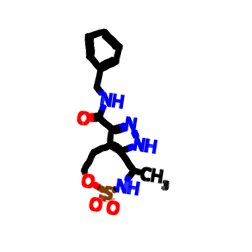 CC1NS(=O)(=O)OCCc2c(C(=O)NCc3ccccc3)n[nH]c21